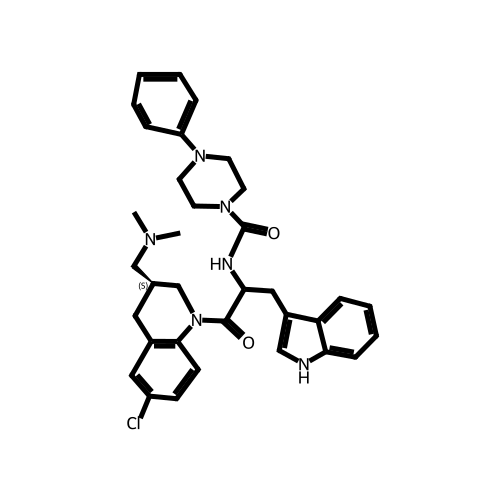 CN(C)C[C@@H]1Cc2cc(Cl)ccc2N(C(=O)C(Cc2c[nH]c3ccccc23)NC(=O)N2CCN(c3ccccc3)CC2)C1